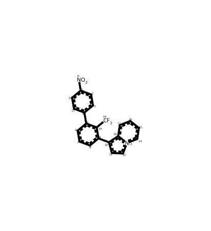 O=[N+]([O-])c1ccc(-c2cccc(-c3ccn4ccccc34)c2C(F)(F)F)cc1